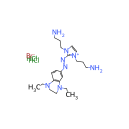 CCN1CCN(CC)c2cc(/N=N/c3n(CCCN)cc[n+]3CCCN)ccc21.Cl.Cl.[Br-]